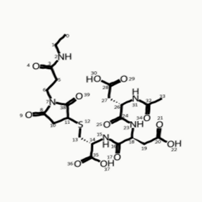 CCNC(=O)CCN1C(=O)CC(SC[C@H](NC(=O)[C@H](CC(=O)O)NC(=O)[C@H](CC(=O)O)NC(C)=O)C(=O)O)C1=O